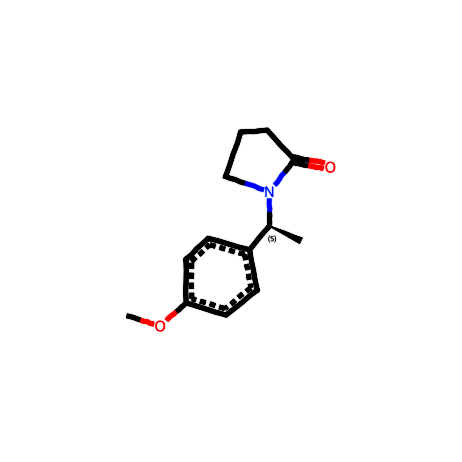 COc1ccc([C@H](C)N2CCCC2=O)cc1